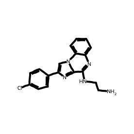 NCCNc1nc2ccccc2n2cc(-c3ccc(Cl)cc3)nc12